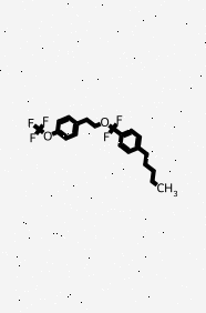 CCCCCc1ccc(C(F)(F)OCCc2ccc(OC(F)(F)F)cc2)cc1